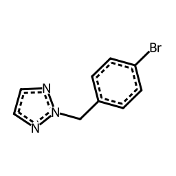 Brc1ccc(Cn2nccn2)cc1